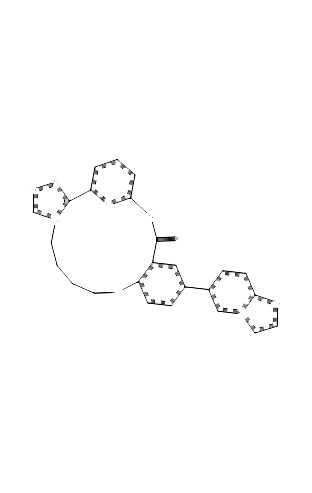 O=C1Nc2cccc(n2)-c2nncn2CCCCOc2ccc(-c3ccc4nccn4c3)cc21